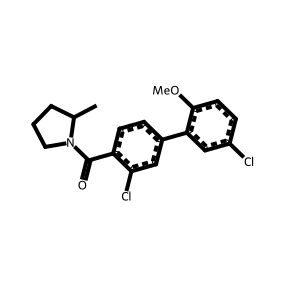 COc1ccc(Cl)cc1-c1ccc(C(=O)N2CCCC2C)c(Cl)c1